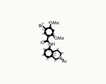 COc1cc(OC)c(C(=O)Nc2cccc3c2CCN(C(C)=O)C3)cc1Br